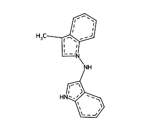 Cc1cn(Nc2c[nH]c3ccccc23)c2ccccc12